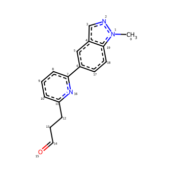 Cn1ncc2cc(-c3cccc(CCC=O)n3)ccc21